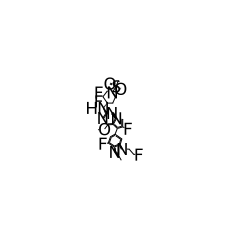 COc1nc(N[C@@H]2CCN(S(C)(=O)=O)CC2(F)F)nn2cc(F)c(-c3cc(F)c4nc(C)n(CCF)c4c3)c12